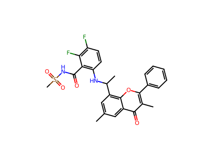 Cc1cc(C(C)Nc2ccc(F)c(F)c2C(=O)NS(C)(=O)=O)c2oc(-c3ccccc3)c(C)c(=O)c2c1